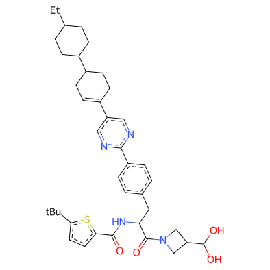 CCC1CCC(C2CC=C(c3cnc(-c4ccc(CC(NC(=O)c5ccc(C(C)(C)C)s5)C(=O)N5CC(C(O)O)C5)cc4)nc3)CC2)CC1